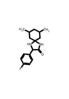 CC1CC(C)CC2(C1)NC(=O)C(c1ccc(F)cc1)N2